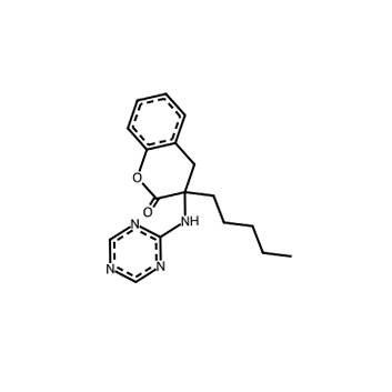 CCCCCC1(Nc2ncncn2)Cc2ccccc2OC1=O